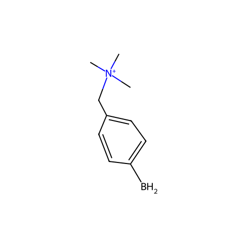 Bc1ccc(C[N+](C)(C)C)cc1